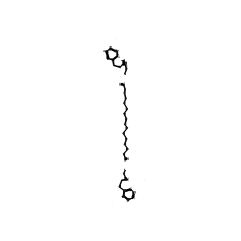 Cc1c(C)c2c(c(C)c1O)CCC(C)(CCOC(=O)CCCCCCCCCCCCCCC(=O)OCCC1(C)CCc3c(C)c(O)c(C)c(C)c3O1)O2